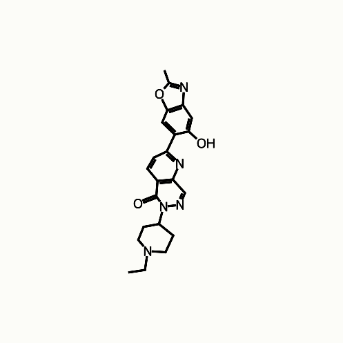 CCN1CCC(n2ncc3nc(-c4cc5oc(C)nc5cc4O)ccc3c2=O)CC1